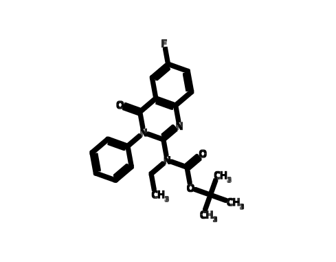 CCN(C(=O)OC(C)(C)C)c1nc2ccc(F)cc2c(=O)n1-c1ccccc1